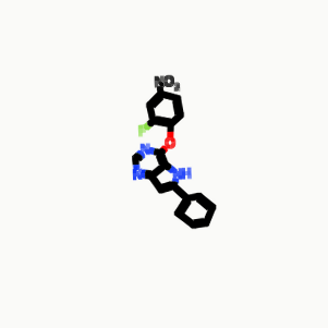 O=[N+]([O-])c1ccc(Oc2ncnc3cc(-c4ccccc4)[nH]c23)c(F)c1